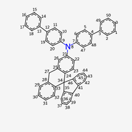 c1ccc(-c2ccc(N(c3ccc(-c4ccccc4)cc3)c3ccc4c(c3)Cc3ccccc3C43c4ccccc4-c4ccccc43)cc2)cc1